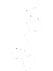 FC(F)(F)c1cccc([CH]Cc2ccnc3ccccc23)c1